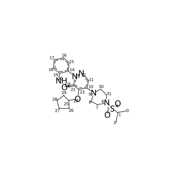 CC(C)S(=O)(=O)N1CCN(c2cnn(-c3ccccc3N)c(=O)c2OC2CCCC2)CC1